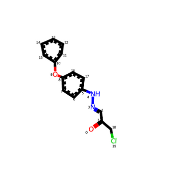 O=C(C=NNc1ccc(Oc2ccccc2)cc1)CCl